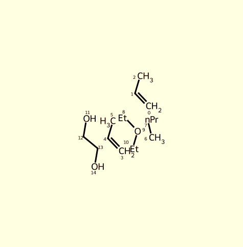 C=CC.C=CC.CCCC.CCOCC.OCCO